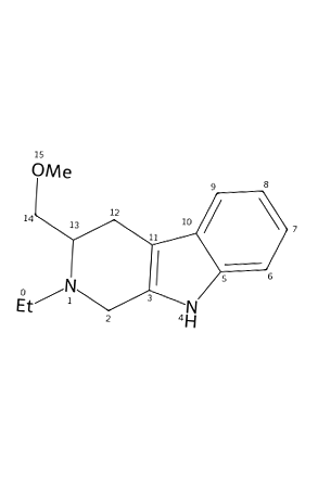 CCN1Cc2[nH]c3ccccc3c2CC1COC